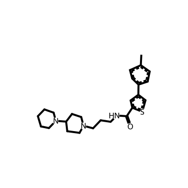 Cc1ccc(-c2csc(C(=O)NCCCN3CCC(N4CCCCC4)CC3)c2)cc1